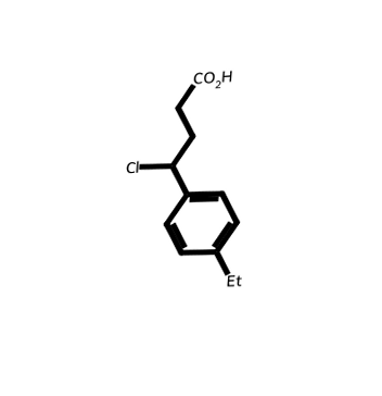 CCc1ccc(C(Cl)CCC(=O)O)cc1